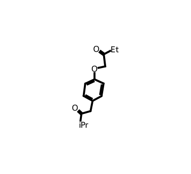 CCC(=O)COc1ccc(CC(=O)C(C)C)cc1